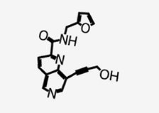 O=C(NCc1ccco1)c1ccc2cncc(C#CCO)c2n1